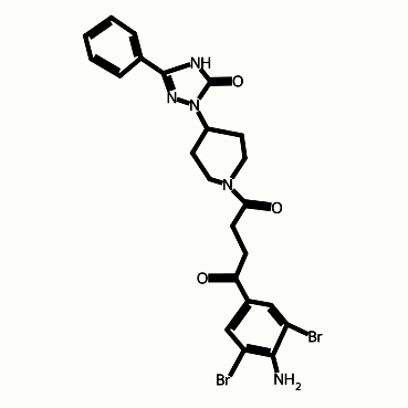 Nc1c(Br)cc(C(=O)CCC(=O)N2CCC(n3nc(-c4ccccc4)[nH]c3=O)CC2)cc1Br